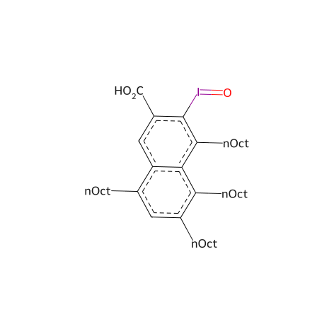 CCCCCCCCc1cc(CCCCCCCC)c2cc(C(=O)O)c(I=O)c(CCCCCCCC)c2c1CCCCCCCC